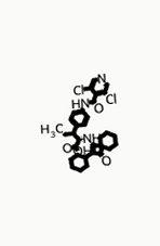 CCC(c1ccc(NC(=O)c2c(Cl)cncc2Cl)cc1)[C@H](NC1=C(C2CCCCC2)C(=O)C12CCCCC2)C(=O)O